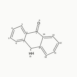 O=C1c2ccccc2Cc2ccccc21.[HH]